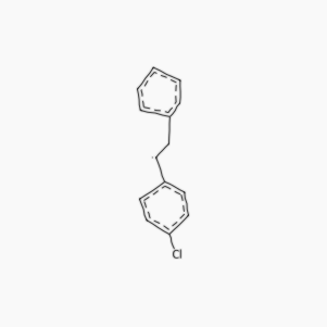 Clc1ccc([CH]Cc2ccccc2)cc1